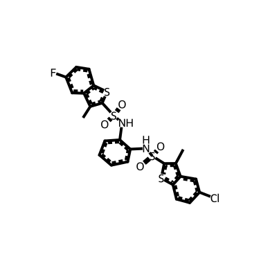 Cc1c(S(=O)(=O)Nc2ccccc2NS(=O)(=O)c2sc3ccc(Cl)cc3c2C)sc2ccc(F)cc12